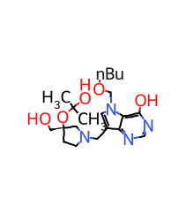 CCCCOCn1cc(CN2CC[C@](CO)(OC(C)(C)O)C2)c2ncnc(O)c21